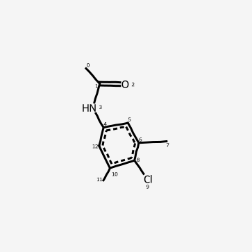 CC(=O)Nc1cc(C)c(Cl)c(C)c1